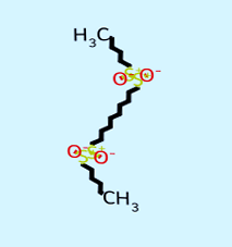 CCCCCC[S+]([O-])[S+]([O-])CCCCCCCCCC[S+]([O-])[S+]([O-])CCCCCC